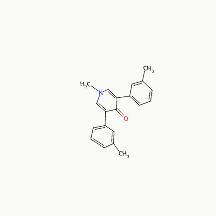 Cc1cccc(-c2cn(C)cc(-c3cccc(C)c3)c2=O)c1